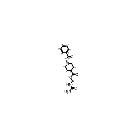 NC(=O)NCOC(=O)C1CCN(OC(=O)c2ccccc2)CC1